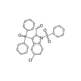 O=Cc1c(P(=O)(c2ccccc2)c2ccccc2)c2cc(Cl)ccc2n1S(=O)(=O)c1ccccc1